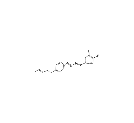 C/C=C/CCc1ccc(/C=N/N=C/c2ccc(F)c(F)c2)cc1